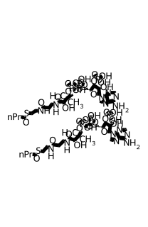 CCCC(=O)SCCNC(=O)CCNC(=O)C(O)C(C)(C)COP(=O)(O)OP(=O)(O)OC[C@H]1O[C@@H](n2cnc3c(N)ncnc32)[C@H](O)[C@@H]1OP(=O)(O)O.CCCC(=O)SCCNC(=O)CCNC(=O)C(O)C(C)(C)COP(=O)(O)OP(=O)(O)OC[C@H]1O[C@@H](n2cnc3c(N)ncnc32)[C@H](O)[C@@H]1OP(=O)(O)O